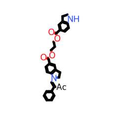 CC(=O)/C(=C\N1CCc2cc(C(=O)OCCCOC(=O)c3ccc4c(c3)CCN4)ccc21)c1ccccc1